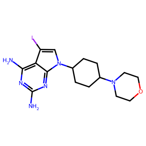 Nc1nc(N)c2c(I)cn(C3CCC(N4CCOCC4)CC3)c2n1